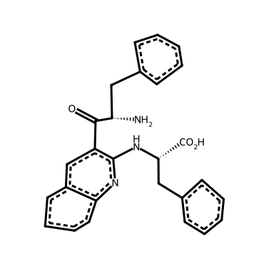 N[C@@H](Cc1ccccc1)C(=O)c1cc2ccccc2nc1N[C@@H](Cc1ccccc1)C(=O)O